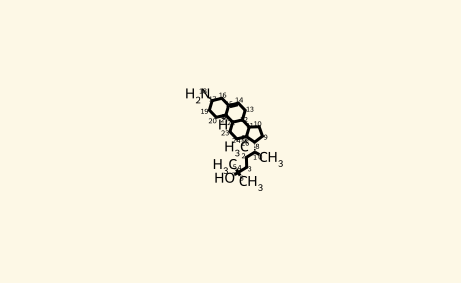 CC(CCC(C)(C)O)[C@H]1CCC2C3CC=C4C[C@@H](N)CC[C@@H]4C3CC[C@@]21C